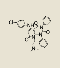 CN(C)CCn1c(=O)cc(Nc2ccc(Cl)cc2)c2c(=O)n(-c3ccccc3)c(=O)n(-c3ccccc3)c21